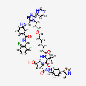 Cc1ncsc1-c1ccc(CNC(=O)[C@@H]2C[C@@H](O)CN2C(=O)C(NC(=O)CCCCCCOCCCn2c(CNc3cccc(C(=O)NCc4c(F)cccc4F)c3)nnc2-c2ccncn2)C(C)(C)C)cc1